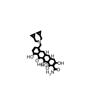 NC(=O)C1=C(O)C[C@@H]2C[C@@H]3Cc4c(CN(CC5CC5)CC5CC5)ccc(O)c4C(=O)C3=C(O)[C@]2(O)C1=O